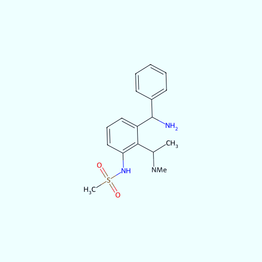 CNC(C)c1c(NS(C)(=O)=O)cccc1C(N)c1ccccc1